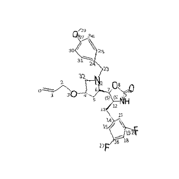 C=CCOC1CC([C@H]2OC(=O)N[C@H]2Cc2cc(F)cc(F)c2)N(Cc2ccc(OC)cc2)C1